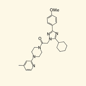 COc1ccc(-c2nc(C3CCCCC3)n(CC(=O)N3CCN(c4cc(C)ccn4)CC3)n2)cc1